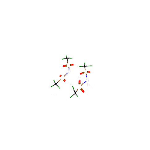 O.O=S(=O)([N-]S(=O)(=O)C(F)(F)F)C(F)(F)F.O=S(=O)([N-]S(=O)(=O)C(F)(F)F)C(F)(F)F.[Cu+2]